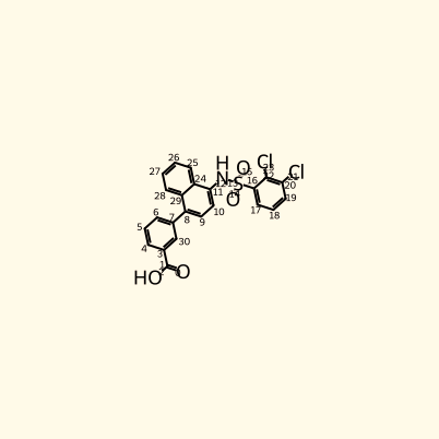 O=C(O)c1cccc(-c2ccc(NS(=O)(=O)c3cccc(Cl)c3Cl)c3ccccc23)c1